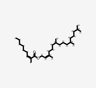 CCCCCCC=C(C)C(=O)OCC=C(C)CCCC(C)CCCC(C)CCCC(C)C